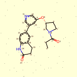 CCC(=O)N1CC[C@@H](Oc2cncc(-c3ccc4c(c3)CCC(=O)N4)c2)C1